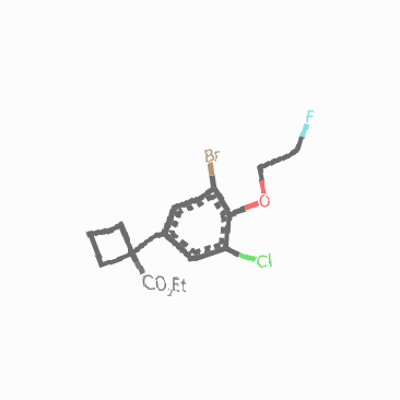 CCOC(=O)C1(c2cc(Cl)c(OCCF)c(Br)c2)CCC1